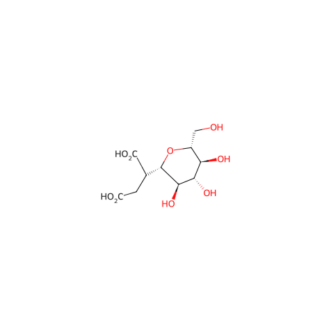 O=C(O)CC(C(=O)O)[C@@H]1O[C@H](CO)[C@@H](O)[C@H](O)[C@H]1O